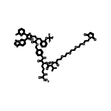 Cc1cccc(-c2nc(CN(Cc3ccccc3OC(F)(F)F)C(=O)OCc3ccc(NC(=O)C(CCCNC(N)=O)NC(=O)[C@@H](NC(=O)CCOCCOCCOCCOCCN4C(=O)C=CC4=O)C(C)C)cc3)[nH]c2-c2ccc3ncnn3c2)n1